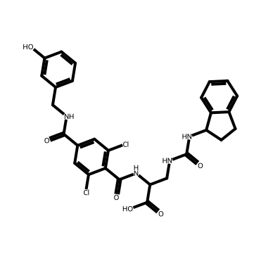 O=C(NCC(NC(=O)c1c(Cl)cc(C(=O)NCc2cccc(O)c2)cc1Cl)C(=O)O)NC1CCc2ccccc21